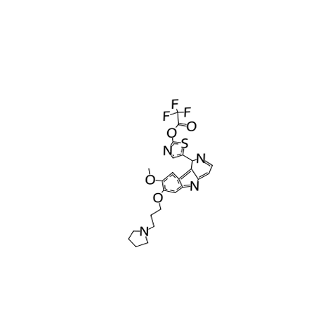 COc1cc2c(cc1OCCCN1CCCC1)=NC1=CC=NC(c3cnc(OC(=O)C(F)(F)F)s3)C=21